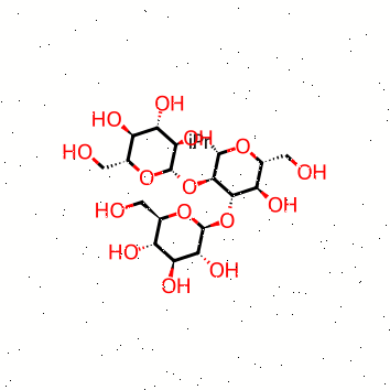 CC(C)[C@@H]1O[C@H](CO)[C@@H](O)[C@H](O[C@@H]2O[C@H](CO)[C@@H](O)[C@H](O)[C@H]2O)[C@H]1O[C@@H]1O[C@H](CO)[C@@H](O)[C@H](O)[C@H]1O